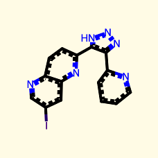 Ic1cnc2ccc(-c3[nH]nnc3-c3ccccn3)nc2c1